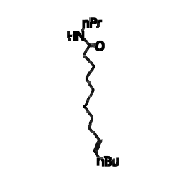 CCCC/C=C/CCCCCCCC(=O)NCCC